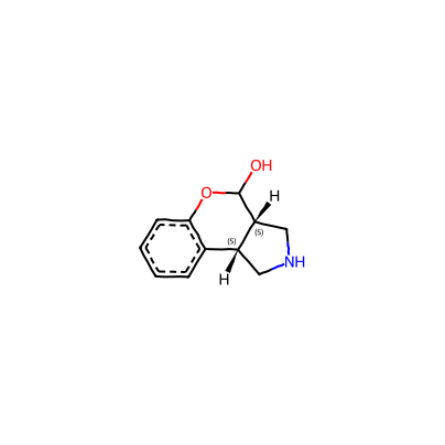 OC1Oc2ccccc2[C@H]2CNC[C@@H]12